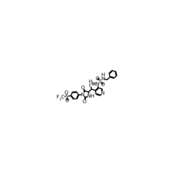 CC(c1ccncc1NS(=O)(=O)NCc1ccccc1)C1NC(=O)N(c2ccc(S(=O)(=O)C(F)(F)F)cc2)C1=O